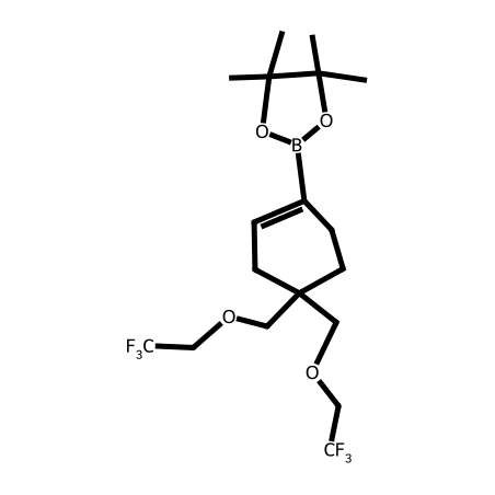 CC1(C)OB(C2=CCC(COCC(F)(F)F)(COCC(F)(F)F)CC2)OC1(C)C